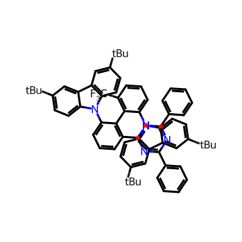 CC(C)(C)c1ccc2c(c1)c1cc(C(C)(C)C)ccc1n2-c1cccc(-c2nc(-c3ccccc3)nc(-c3ccccc3)n2)c1-c1c(-n2c3ccc(C(C)(C)C)cc3c3cc(C(C)(C)C)ccc32)cccc1C(F)(F)F